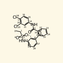 CCS(=O)(=O)Nc1cc(-c2c(C(=O)Nc3ccc(Cl)c(Cl)c3)c3ccc2o3)ccn1